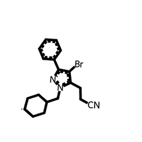 N#CCCc1c(Br)c(-c2ccccc2)nn1CC1CC[CH]CC1